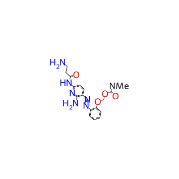 CNC(=O)OCOc1ccccc1/N=N/c1ccc(NC(=O)CCN)nc1N